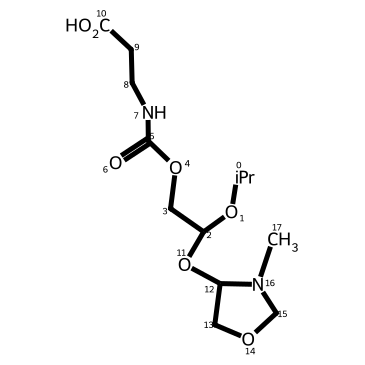 CC(C)OC(COC(=O)NCCC(=O)O)OC1COCN1C